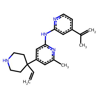 C=CC1(c2cc(C)nc(Nc3cc(C(=C)C)ccn3)c2)CCNCC1